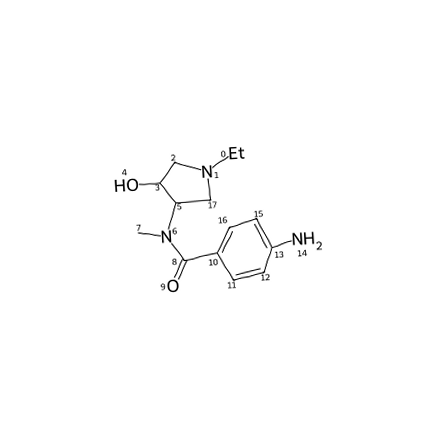 CCN1CC(O)C(N(C)C(=O)c2ccc(N)cc2)C1